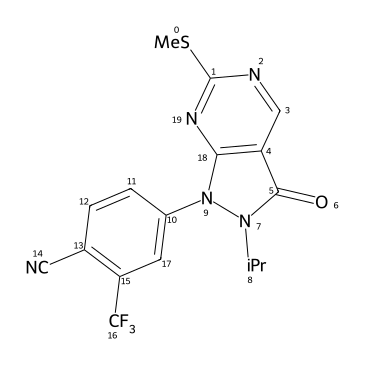 CSc1ncc2c(=O)n(C(C)C)n(-c3ccc(C#N)c(C(F)(F)F)c3)c2n1